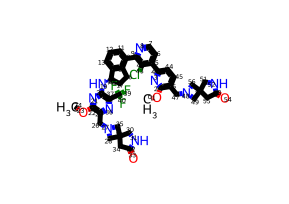 COc1nc(-c2ccnc(-c3cccc4c3CC[C@H]4Nc3nc(OC)c(CN4CC5(CNC(=O)C5)C4)nc3C(F)(F)F)c2Cl)ccc1CN1CC2(CNC(=O)C2)C1